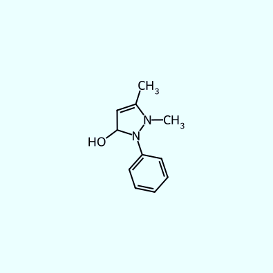 CC1=CC(O)N(c2ccccc2)N1C